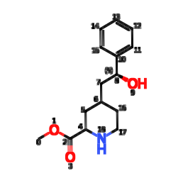 COC(=O)C1CC(C[C@H](O)c2ccccc2)CCN1